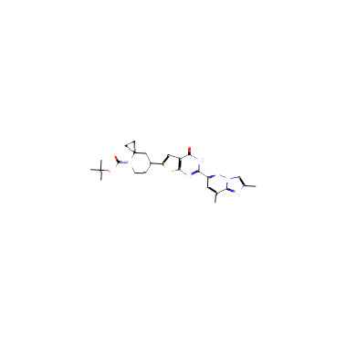 Cc1cn2nc(-c3nc4sc(C5CCN(C(=O)OC(C)(C)C)C6(CC6)C5)cc4c(=O)[nH]3)cc(C)c2n1